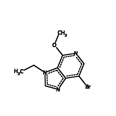 CCn1cnc2c(Br)cnc(OC)c21